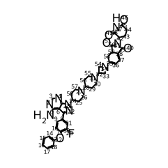 Nc1ncnc2c1c(-c1ccc(Oc3ccccc3)c(F)c1)nn2C1CCN(C2CCN(C3CN(C4=CC=C5C(=O)N(C6CCC(=O)NC6=O)C(=O)C5C4)C3)CC2)CC1